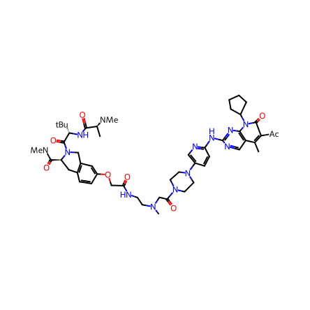 CNC(=O)[C@@H]1Cc2ccc(OCC(=O)NCCN(C)CC(=O)N3CCN(c4ccc(Nc5ncc6c(C)c(C(C)=O)c(=O)n(C7CCCC7)c6n5)nc4)CC3)cc2CN1C(=O)[C@@H](NC(=O)[C@H](C)NC)C(C)(C)C